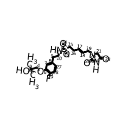 CC(C)(O)COc1cc(CCNS(=O)(=O)CCC=CCN2CC(=O)NC2=O)ccc1F